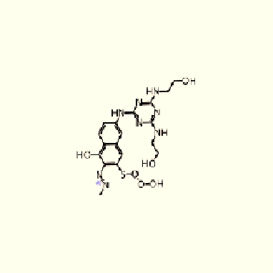 C/N=N/c1c(SOOO)cc2cc(Nc3nc(NCCO)nc(NCCO)n3)ccc2c1O